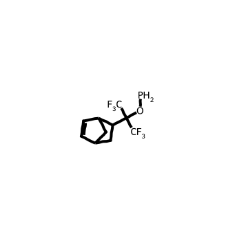 FC(F)(F)C(OP)(C1CC2C=CC1C2)C(F)(F)F